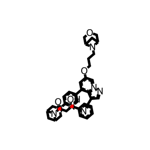 N#Cc1cnn2cc(OCCCN3C4COCC3C4)cc(-c3ccc(N4CC5CC(C4)N5C(=O)C[C@H](O)c4ccccc4)nc3)c12